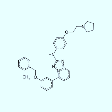 Cc1ccccc1COc1cccc(-c2cccc3nc(Nc4ccc(OCCN5CCCC5)cc4)nn23)c1